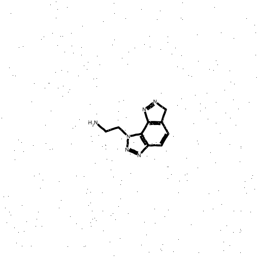 NCCn1nnc2ccc3c(c21)N=NC3